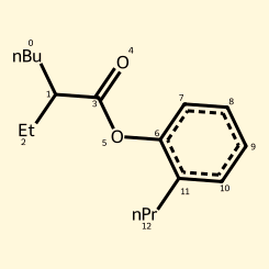 CCCCC(CC)C(=O)Oc1ccccc1CCC